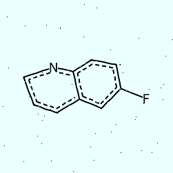 Fc1[c]cc2ncccc2c1